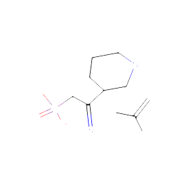 C=C(C[C@]1(C(=N)CP(=O)(O)O)CCCNC1)C(=O)O